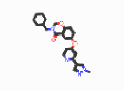 Cn1cc(-c2cc(Oc3ccc4c(c3)C(=O)N(CC3CCCCC3)CO4)ccn2)cn1